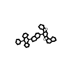 c1ccc(-c2c3ccccc3c(-c3ccc4cc(-c5c6oc7ccc8ccccc8c7c6cc6oc7ccccc7c56)ccc4c3)c3ccccc23)cc1